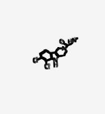 CNCC(=O)N1CCc2[nH]c3c(Cl)c(Cl)ccc3c2C1